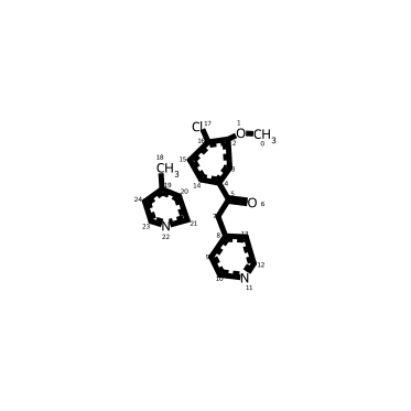 COc1cc(C(=O)Cc2ccncc2)ccc1Cl.Cc1ccncc1